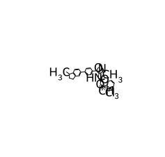 Cc1noc(-c2ccc(-c3ccc4c(c3)CCC4C)cc2)c1NC(=O)O[C@H](C)c1ccccc1Cl